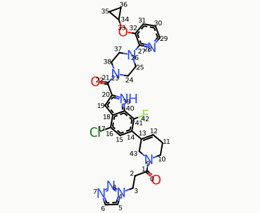 O=C(CCn1ccnn1)N1CCC=C(c2cc(Cl)c3cc(C(=O)N4CCN(c5ncccc5OC5CC5)CC4)[nH]c3c2F)C1